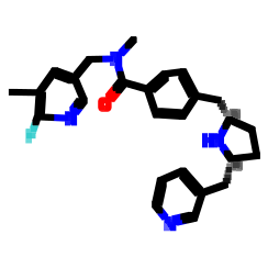 Cc1cc(CN(C)C(=O)c2ccc(C[C@@H]3CC[C@H](Cc4cccnc4)N3)cc2)cnc1F